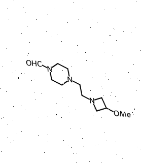 COC1CN(CCN2CCN(C=O)CC2)C1